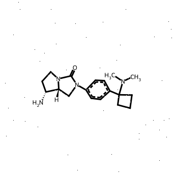 CN(C)C1(c2ccc(N3C[C@@H]4[C@H](N)CCN4C3=O)cc2)CCC1